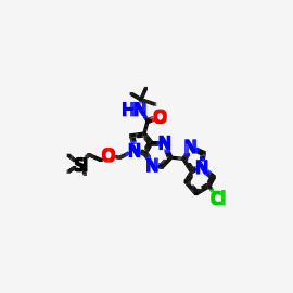 CC(C)(C)NC(=O)c1cn(COCC[Si](C)(C)C)c2ncc(-c3ncn4cc(Cl)ccc34)nc12